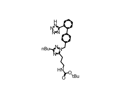 CCCCc1nc(CCCNC(=O)OC(C)(C)C)n(Cc2ccc(-c3ccccc3-c3nnn[nH]3)cc2)n1